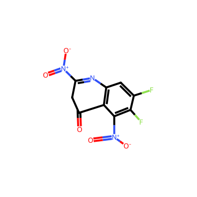 O=C1CC([N+](=O)[O-])=Nc2cc(F)c(F)c([N+](=O)[O-])c21